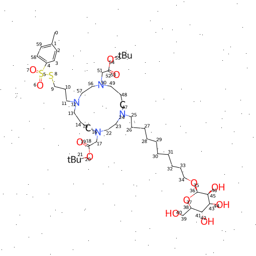 Cc1ccc(S(=O)(=O)SCCCN2CCCN(CC(=O)OC(C)(C)C)CCN(CCCCCCCCCCO[C@@H]3OC(CO)[C@@H](O)C(O)[C@@H]3O)CCCN(CC(=O)OC(C)(C)C)CC2)cc1